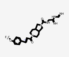 N=CNC(=N)CNC(=O)N1CC2CCN(C(=O)/C=C/c3ccc(OC(F)(F)F)cc3)CCC2C1